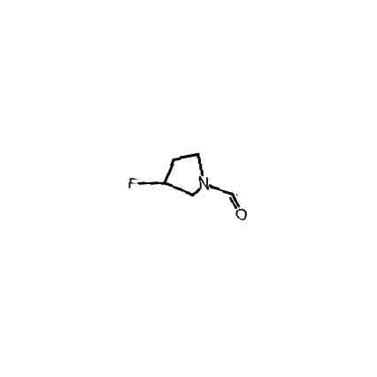 O=[C]N1CCC(F)C1